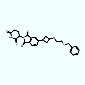 O=C1CCC(N2C(=O)c3ccc(N4CC(OCCOCc5ccccc5)C4)cc3C2=O)C(=O)N1